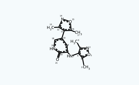 Cc1noc(C)c1Nc1cc(-c2c(C)noc2C)c[nH]c1=O